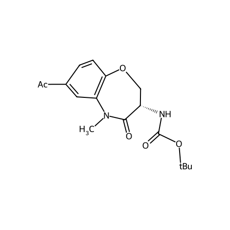 CC(=O)c1ccc2c(c1)N(C)C(=O)[C@@H](NC(=O)OC(C)(C)C)CO2